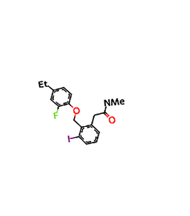 CCc1ccc(OCc2c(I)cccc2CC(=O)NC)c(F)c1